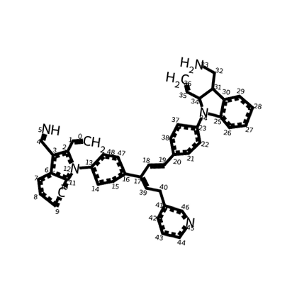 C=Cc1c(C=N)c2ccccc2n1-c1ccc(C(/C=C/c2ccc(N3c4ccccc4C(CN)C3C=C)cc2)=C/Cc2cccnc2)cc1